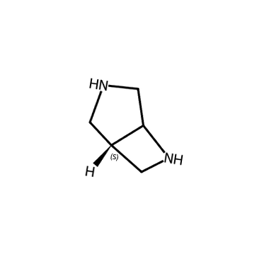 C1NC[C@H]2CNC12